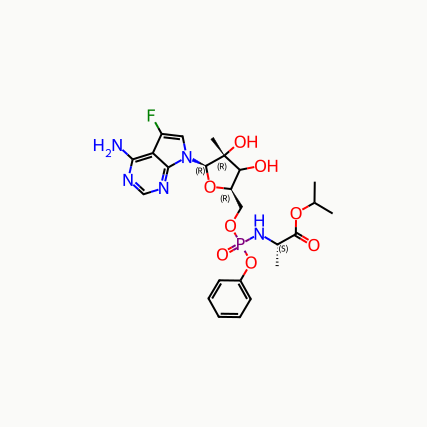 CC(C)OC(=O)[C@H](C)NP(=O)(OC[C@H]1O[C@@H](n2cc(F)c3c(N)ncnc32)[C@](C)(O)C1O)Oc1ccccc1